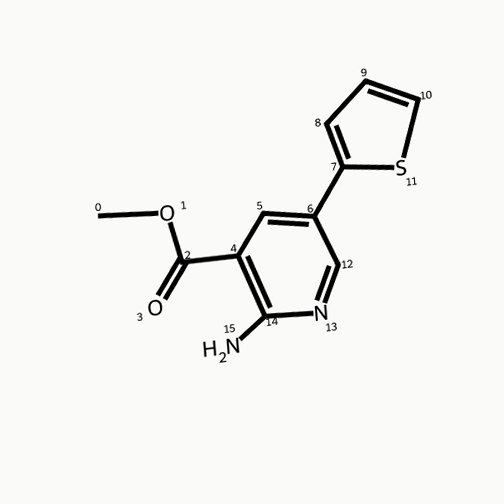 COC(=O)c1cc(-c2cccs2)cnc1N